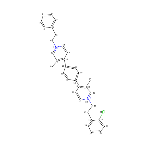 Cc1c[n+](CCc2ccccc2)ccc1-c1ccc(-c2cc[n+](CCc3ccccc3Cl)cc2C)cc1